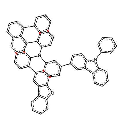 c1ccc(-c2cccc3cccc(-c4ccccc4N(c4cccc(-c5ccc6c(c5)c5ccccc5n6-c5ccccc5)c4)c4ccccc4-c4ccc5oc6ccccc6c5c4)c23)cc1